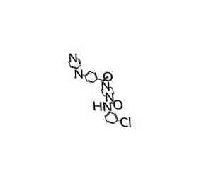 CN(c1ccncc1)c1ccc(C(=O)N2CCN(C(=O)Nc3cccc(Cl)c3)CC2)cc1